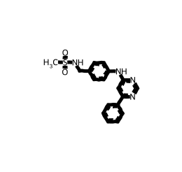 CS(=O)(=O)NCc1ccc(Nc2cc(-c3ccccc3)ncn2)cc1